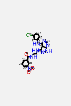 O=C(NCCNc1n[nH]c2ncnc(Nc3cccc(Cl)c3)c12)c1cccc([N+](=O)[O-])c1